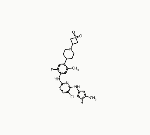 Cc1cc(Nc2nc(Nc3cc(C)c(C4CCN(C5CS(=O)(=O)C5)CC4)cc3F)ncc2Cl)c[nH]1